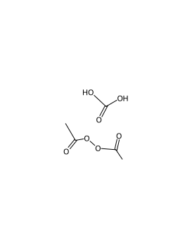 CC(=O)OOC(C)=O.O=C(O)O